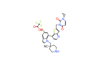 N#CC1(Cn2ccc3cc(Cl)cc(-c4ccnc5cc(Cn6c(=O)ccn(C7CC7)c6=O)sc45)c32)CCNCC1.O=C(O)C(F)(F)F